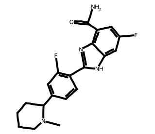 CN1CCCCC1c1ccc(-c2nc3c(C(N)=O)cc(F)cc3[nH]2)c(F)c1